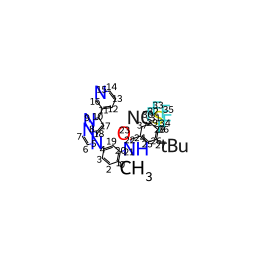 Cc1ccc(-n2ccn3nc(-c4cccnc4)cc23)cc1NC(=O)C1=CC(C(C)(C)C)=CC(C#N)(S(F)(F)(F)(F)F)C1